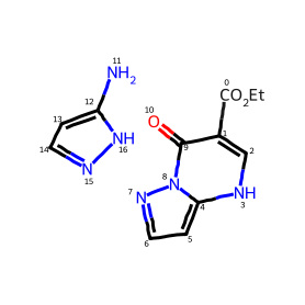 CCOC(=O)c1c[nH]c2ccnn2c1=O.Nc1ccn[nH]1